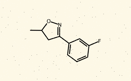 CC1CC(c2cccc(F)c2)=NO1